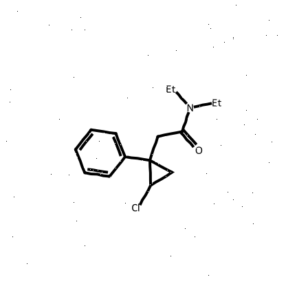 CCN(CC)C(=O)CC1(c2ccccc2)CC1Cl